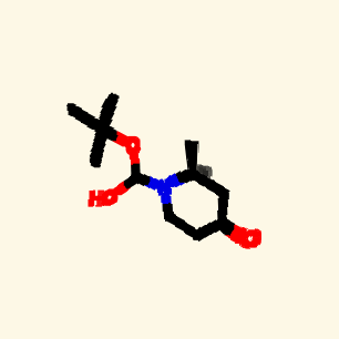 C[C@H]1CC(=O)CCN1C(O)OC(C)(C)C